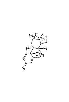 C[C@@]12CCC[C@H]1[C@@H]1CCC3=CC(=S)C=C[C@]3(C)[C@H]1CC2